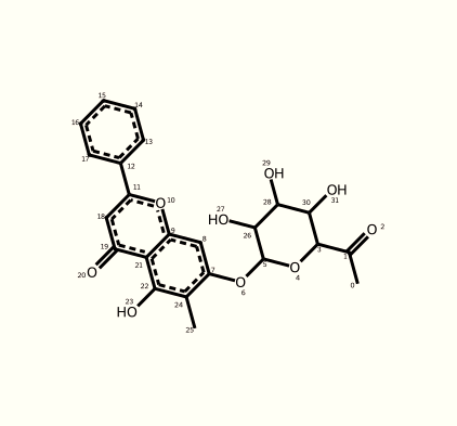 CC(=O)C1OC(Oc2cc3oc(-c4ccccc4)cc(=O)c3c(O)c2C)C(O)C(O)C1O